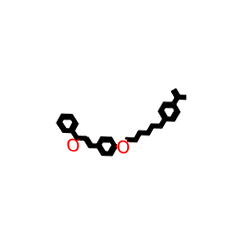 C=C(C)c1ccc(CCCCCCOc2ccc(C=CC(=O)c3ccccc3)cc2)cc1